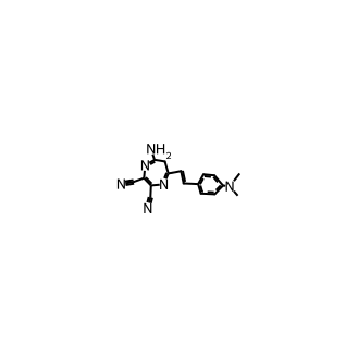 CN(C)c1ccc(C=CC2=NC(C#N)=C(C#N)N=C(N)C2)cc1